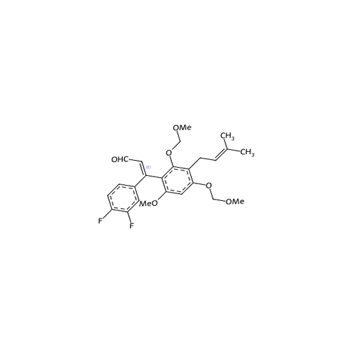 COCOc1cc(OC)c(/C(=C/C=O)c2ccc(F)c(F)c2)c(OCOC)c1CC=C(C)C